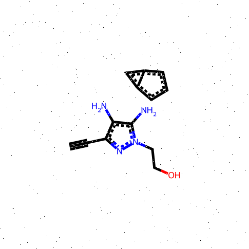 C#Cc1nn(CCO)c(N)c1N.c1cc2cc-2c1